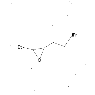 CCC1OC1CCC(C)C